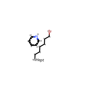 CCCCCCCCCCCCCBr.c1ccncc1